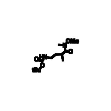 CON(C)C(=O)C(C)CCNC(=O)OC(C)(C)C